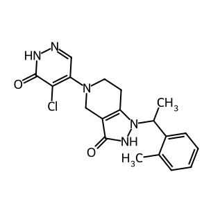 Cc1ccccc1C(C)n1[nH]c(=O)c2c1CCN(c1cn[nH]c(=O)c1Cl)C2